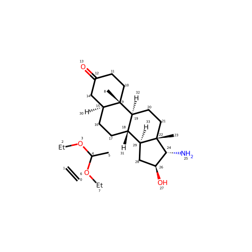 C=C.CCOC(C)OCC.C[C@]12CCC(=O)C[C@@H]1CC[C@@H]1[C@@H]2CC[C@]2(C)[C@H](N)[C@@H](O)C[C@@H]12